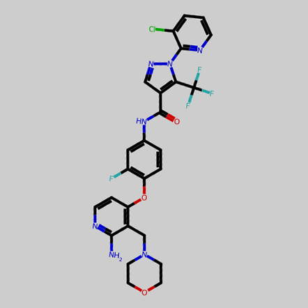 Nc1nccc(Oc2ccc(NC(=O)c3cnn(-c4ncccc4Cl)c3C(F)(F)F)cc2F)c1CN1CCOCC1